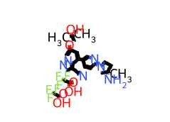 CC(C)(O)COc1cc(-c2ccc(N3CC[C@@](C)(N)C3)nc2)c2c(C#N)cnn2c1.O=C(O)C(F)(F)F.O=C(O)C(F)(F)F